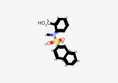 CN(c1ccccc1C(=O)O)S(=O)(=O)c1ccc2ccccc2c1